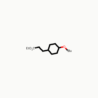 CCOC(=O)CCC1CCC(OC(C)CC)CC1